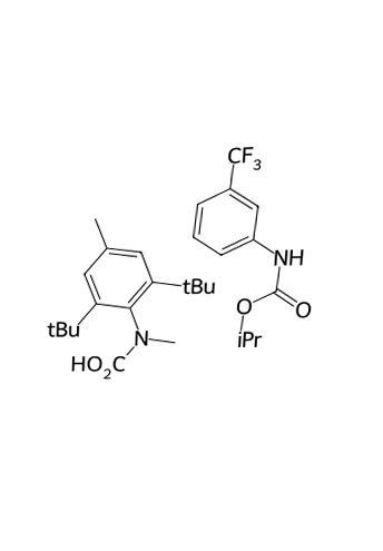 CC(C)OC(=O)Nc1cccc(C(F)(F)F)c1.Cc1cc(C(C)(C)C)c(N(C)C(=O)O)c(C(C)(C)C)c1